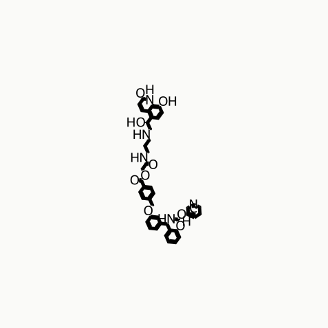 O=C(COC(=O)c1ccc(COc2cccc(C(NC(=O)O[C@H]3CN4CCC3CC4)c3ccccc3)c2)cc1)NCCCNC[C@H](O)c1ccc(O)c2[nH]c(=O)ccc12